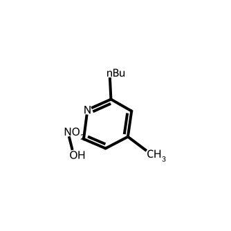 CCCCc1cc(C)ccn1.O=[N+]([O-])O